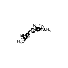 CCc1cc2ncc(CN3CCN(c4ccc(C(=O)NC)c(F)c4C#N)CC3)cc2[nH]c1=O